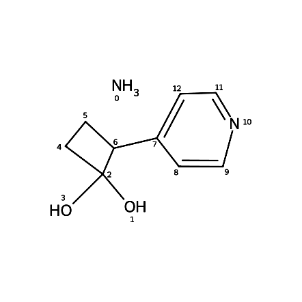 N.OC1(O)CCC1c1ccncc1